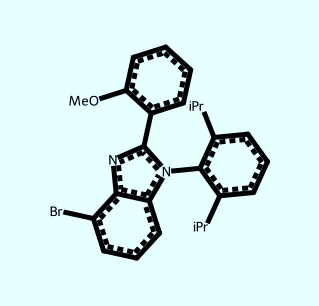 COc1ccccc1-c1nc2c(Br)cccc2n1-c1c(C(C)C)cccc1C(C)C